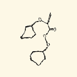 C=C(OC1CCCC1)C(=O)OOC1CCCC1